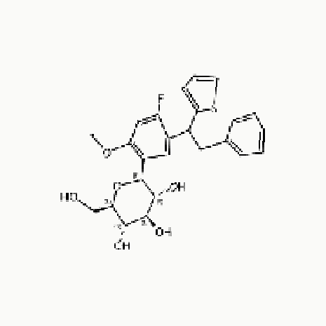 COc1cc(F)c(C(Cc2ccccc2)c2cccs2)cc1[C@@H]1O[C@H](CO)[C@@H](O)[C@H](O)[C@H]1O